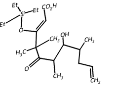 C=CCC(C)C(O)C(C)C(=O)C(C)(C)C(=CC(=O)O)O[Si](CC)(CC)CC